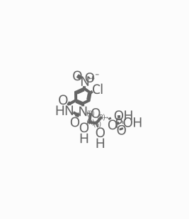 O=c1[nH]c(=O)n([C@@H]2O[C@H](COP(=O)(O)O)[C@@H](O)[C@H]2O)c2cc(Cl)c([N+](=O)[O-])cc12